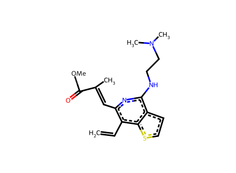 C=Cc1c(/C=C(\C)C(=O)OC)nc(NCCN(C)C)c2ccsc12